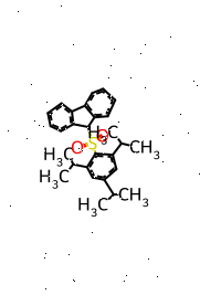 CC(C)c1cc(C(C)C)c(S(=O)(=O)C2c3ccccc3-c3ccccc32)c(C(C)C)c1